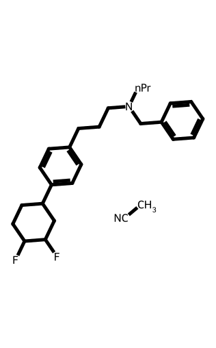 CC#N.CCCN(CCCc1ccc(C2CCC(F)C(F)C2)cc1)Cc1ccccc1